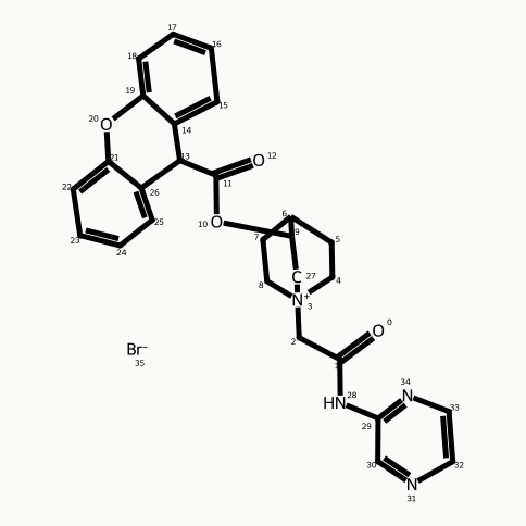 O=C(C[N+]12CCC(CC1)C(OC(=O)C1c3ccccc3Oc3ccccc31)C2)Nc1cnccn1.[Br-]